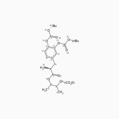 CCOC(=O)OC(C)C(C)OC(=O)[C@@H](N)Cc1ccc(OC(=O)O[C@@H](C)CC)c(OC(=O)OC(C)CC)c1